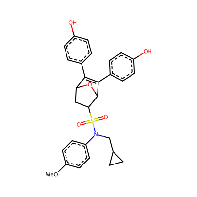 COc1ccc(N(CC2CC2)S(=O)(=O)C2CC3OC2C(c2ccc(O)cc2)=C3c2ccc(O)cc2)cc1